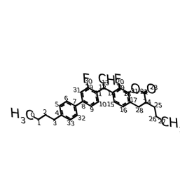 CCCCc1ccc(-c2ccc(C(C)c3ccc4c(c3F)OC(=O)C(CCC)C4)c(F)c2)cc1